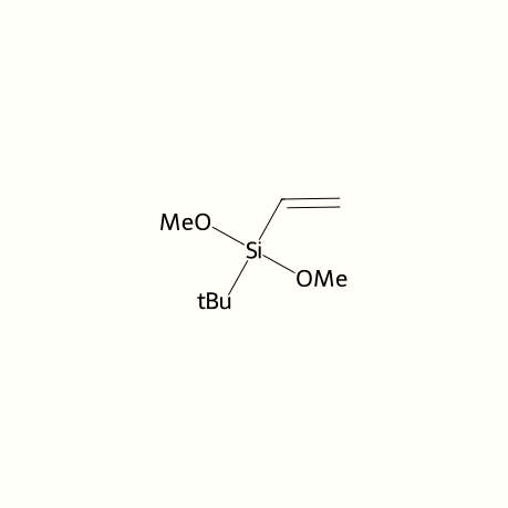 C=C[Si](OC)(OC)C(C)(C)C